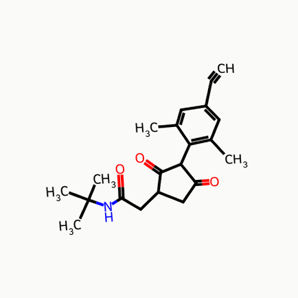 C#Cc1cc(C)c(C2C(=O)CC(CC(=O)NC(C)(C)C)C2=O)c(C)c1